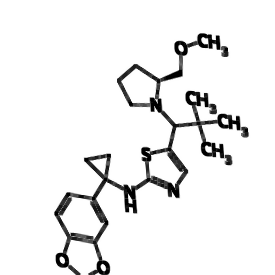 COC[C@@H]1CCCN1C(c1cnc(NC2(c3ccc4c(c3)OCO4)CC2)s1)C(C)(C)C